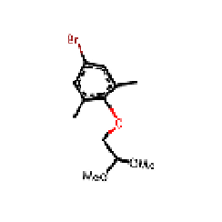 COC(COc1c(C)cc(Br)cc1C)OC